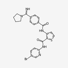 N=C(c1ccc(C(=O)Nc2ccsc2C(=O)Nc2ccc(Br)cn2)cc1)N1CCCC1